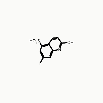 O=S(=O)(O)c1cc(I)cc2nc(O)ccc12